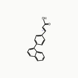 O=C(O)/C=C/c1ccc(-c2cccc3ccccc23)cc1